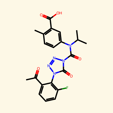 CC(=O)c1cccc(F)c1-n1nnn(C(=O)N(c2ccc(C)c(C(=O)O)c2)C(C)C)c1=O